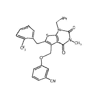 CC(C)Cn1c(=O)n(C)c(=O)c2c(COc3cccc(C#N)c3)c(Cc3ccccc3C(F)(F)F)sc21